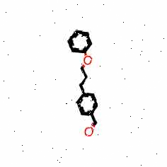 O=Cc1ccc(CCCOc2ccccc2)cc1